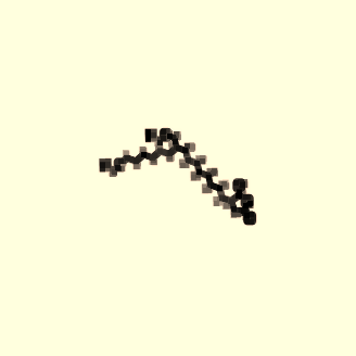 CCCCCCCC(CC)CCCCCCCCC1CC(=O)OC1=O